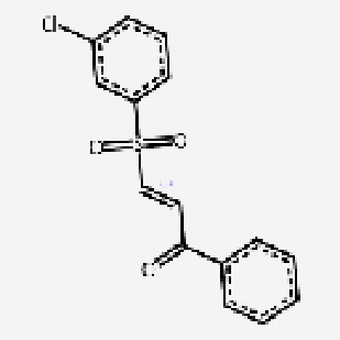 O=C(/C=C/S(=O)(=O)c1cccc(Cl)c1)c1ccccc1